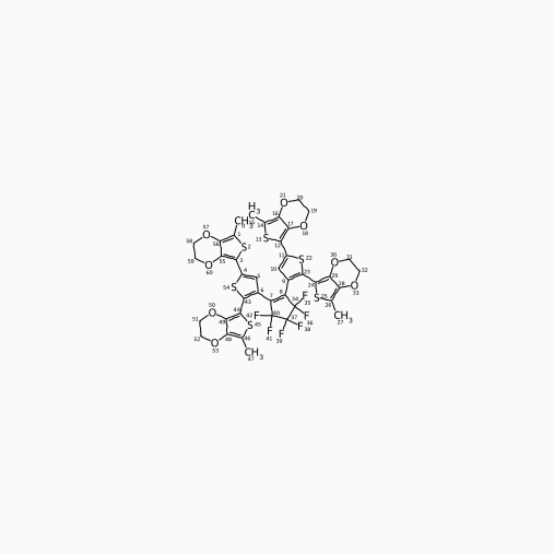 Cc1sc(-c2cc(C3=C(c4cc(-c5sc(C)c6c5OCCO6)sc4-c4sc(C)c5c4OCCO5)C(F)(F)C(F)(F)C3(F)F)c(-c3sc(C)c4c3OCCO4)s2)c2c1OCCO2